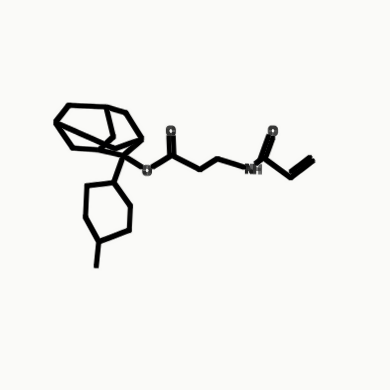 C=CC(=O)NCCC(=O)OC1(C2CCC(C)CC2)C2CC3CC(C2)CC1C3